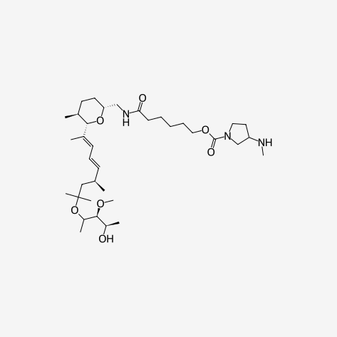 CNC1CCN(C(=O)OCCCCCC(=O)NC[C@H]2CC[C@H](C)[C@@H](/C(C)=C/C=C/[C@@H](C)CC(C)(C)OC(C)[C@@H](OC)[C@@H](C)O)O2)C1